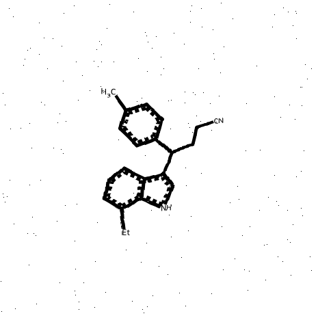 CCc1cccc2c(C(CCC#N)c3ccc(C)cc3)c[nH]c12